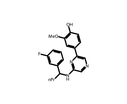 CCCC(Nc1cncc(-c2ccc(O)c(OC)c2)n1)c1cccc(F)c1